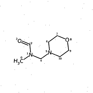 CN([C]=O)CN1CCOCC1